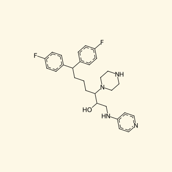 OC(CNc1ccncc1)C(CCCC(c1ccc(F)cc1)c1ccc(F)cc1)N1CCNCC1